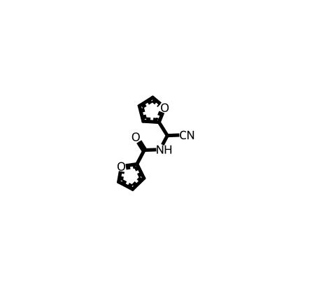 N#CC(NC(=O)c1ccco1)c1ccco1